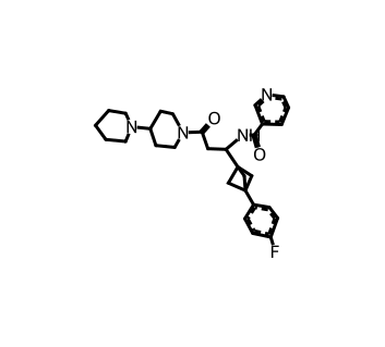 O=C(NC(CC(=O)N1CCC(N2CCCCC2)CC1)C12CC(c3ccc(F)cc3)(C1)C2)c1cccnc1